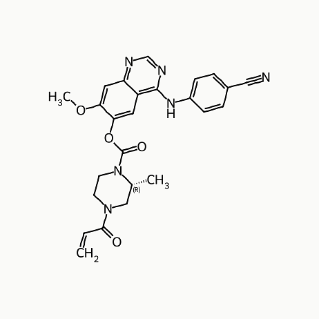 C=CC(=O)N1CCN(C(=O)Oc2cc3c(Nc4ccc(C#N)cc4)ncnc3cc2OC)[C@H](C)C1